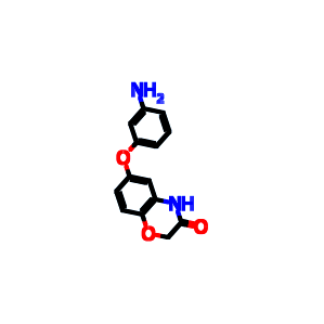 Nc1cccc(Oc2ccc3c(c2)NC(=O)CO3)c1